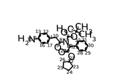 CC(C)(C)OC(=O)N(C(=O)Cc1ccc(N)cc1)[C@H](C(=O)OC1CCCC1)c1ccccc1